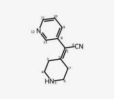 N#CC(=C1CCNCC1)c1cccnc1